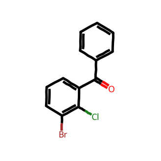 O=C(c1ccccc1)c1cccc(Br)c1Cl